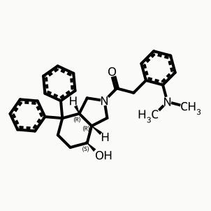 CN(C)c1ccccc1CC(=O)N1C[C@H]2[C@@H](C1)C(c1ccccc1)(c1ccccc1)CC[C@@H]2O